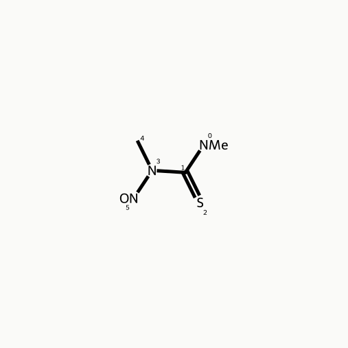 CNC(=S)N(C)N=O